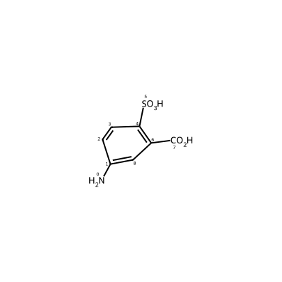 Nc1ccc(S(=O)(=O)O)c(C(=O)O)c1